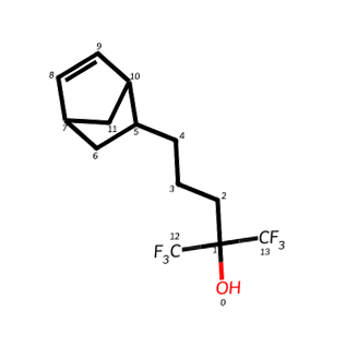 OC(CCCC1CC2C=CC1C2)(C(F)(F)F)C(F)(F)F